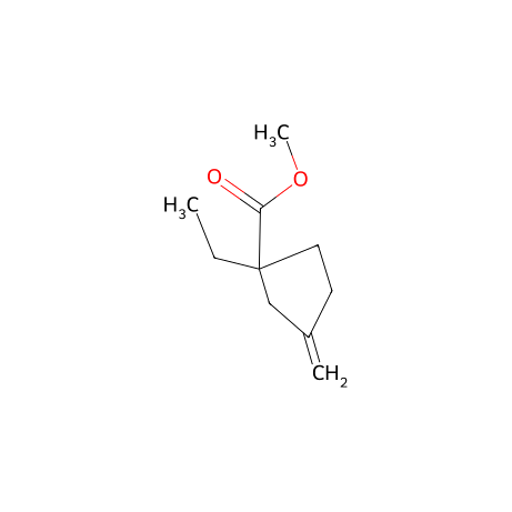 C=C1CCC(CC)(C(=O)OC)C1